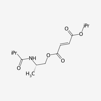 CC(C)OC(=O)C=CC(=O)OC[C@H](C)NC(=O)C(C)C